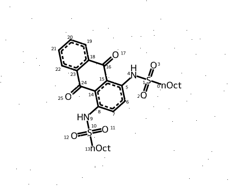 CCCCCCCCS(=O)(=O)Nc1ccc(NS(=O)(=O)CCCCCCCC)c2c1C(=O)c1ccccc1C2=O